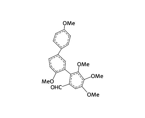 COc1ccc(-c2ccc(OC)c(-c3c(C=O)cc(OC)c(OC)c3OC)c2)cc1